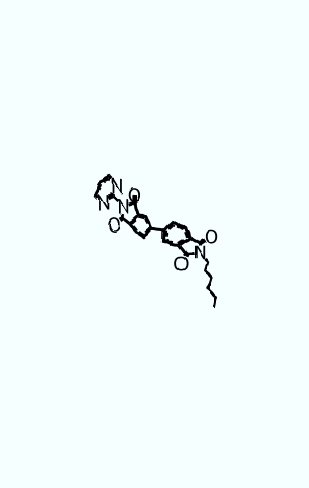 CCCCCCN1C(=O)c2ccc(-c3ccc4c(c3)C(=O)N(c3ncccn3)C4=O)cc2C1=O